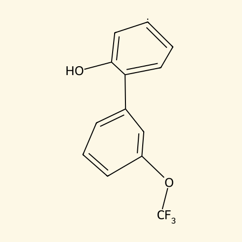 Oc1c[c]ccc1-c1cccc(OC(F)(F)F)c1